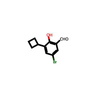 O=Cc1cc(Br)cc(C2CCC2)c1O